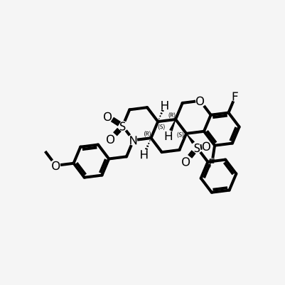 COc1ccc(CN2[C@@H]3CC[C@@]4(S(=O)(=O)c5ccccc5)c5c(F)ccc(F)c5OC[C@H]4[C@@H]3CCS2(=O)=O)cc1